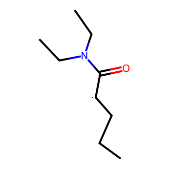 CCC[CH]C(=O)N(CC)CC